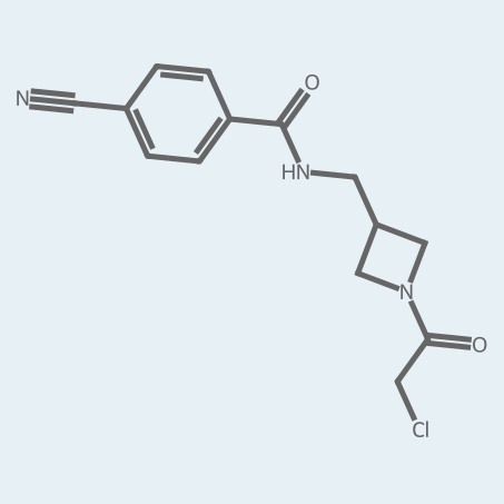 N#Cc1ccc(C(=O)NCC2CN(C(=O)CCl)C2)cc1